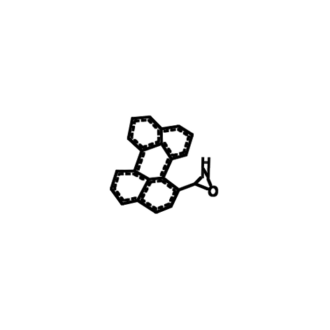 c1cc2cccc3c4c(C5NO5)ccc5cccc(c(c1)c23)c54